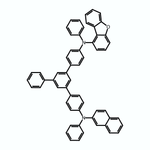 c1ccc(-c2cc(-c3ccc(N(c4ccccc4)c4ccc5ccccc5c4)cc3)cc(-c3ccc(N(c4ccccc4)c4cccc5oc6ccccc6c45)cc3)c2)cc1